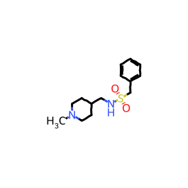 CN1CCC(CNS(=O)(=O)Cc2ccccc2)CC1